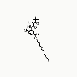 CCCCCCCCCCCCOC(=O)c1ccc(Cl)c(NC(=O)C(Br)C(=O)C(C)(C)C)c1